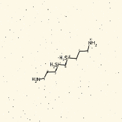 NCCC[SiH2]C[SiH2]CCCN